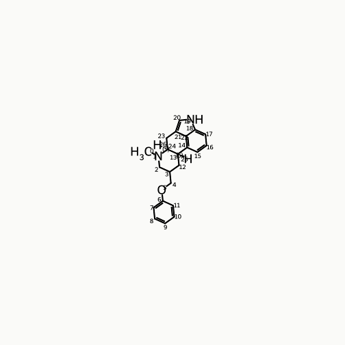 CN1CC(COc2ccccc2)C[C@H]2c3cccc4[nH]cc(c34)C[C@@H]21